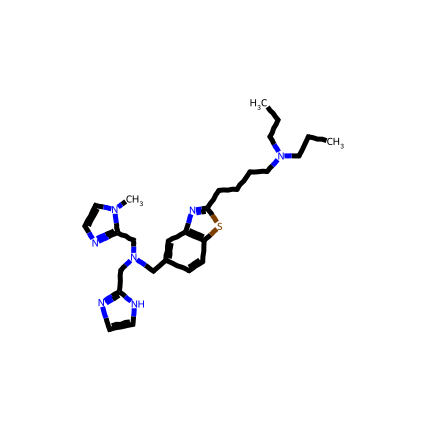 CCCN(CCC)CCCCc1nc2cc(CN(Cc3ncc[nH]3)Cc3nccn3C)ccc2s1